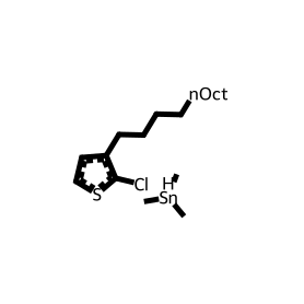 CCCCCCCCCCCCc1ccsc1Cl.[CH3][SnH]([CH3])[CH3]